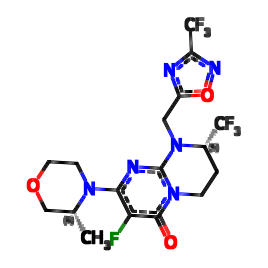 C[C@@H]1COCCN1c1nc2n(c(=O)c1F)CC[C@@H](C(F)(F)F)N2Cc1nc(C(F)(F)F)no1